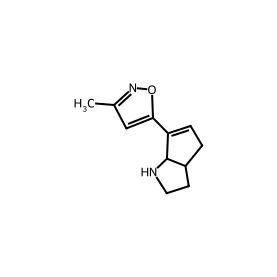 Cc1cc(C2=CCC3CCNC23)on1